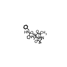 CNC(=O)c1nc(N2CCCC2C(=O)NCc2ccccc2)sc1NC(=O)C1(C#N)CC1